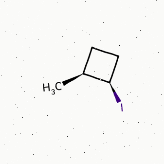 C[C@H]1CC[C@H]1I